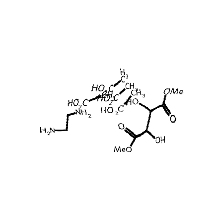 CC(=O)O.CC(=O)O.CC(=O)O.CC(=O)O.COC(=O)C(O)C(O)C(=O)OC.NCCN